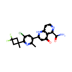 Cc1nc(C2(C)CC(F)(F)C2)c(Cl)cc1-c1cc(=O)c2c(C(N)=O)nccc2[nH]1